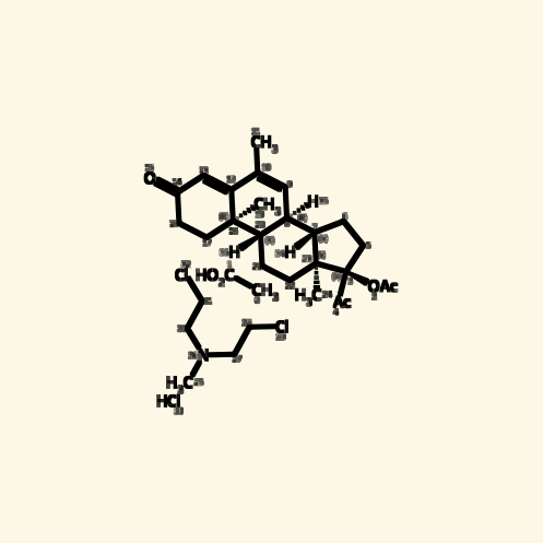 CC(=O)O.CC(=O)O[C@]1(C(C)=O)CC[C@H]2[C@@H]3C=C(C)C4=CC(=O)CC[C@]4(C)[C@H]3CC[C@@]21C.CN(CCCl)CCCl.Cl